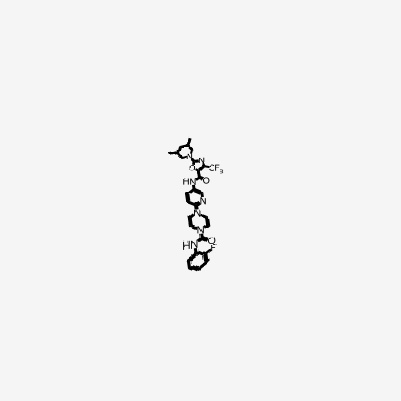 CC1CC(C)CN(c2nc(C(F)(F)F)c(C(=O)Nc3ccc(N4CCN(C(=O)Nc5ccccc5F)CC4)nc3)o2)C1